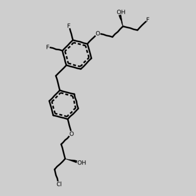 O[C@@H](CCl)COc1ccc(Cc2ccc(OC[C@@H](O)CF)c(F)c2F)cc1